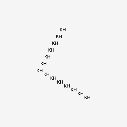 [KH].[KH].[KH].[KH].[KH].[KH].[KH].[KH].[KH].[KH].[KH].[KH].[KH].[KH]